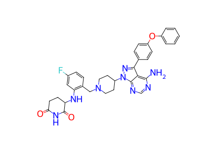 Nc1ncnc2c1c(-c1ccc(Oc3ccccc3)cc1)nn2C1CCN(Cc2ccc(F)cc2NC2CCC(=O)NC2=O)CC1